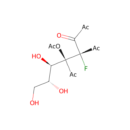 CC(=O)O[C@@](C(C)=O)([C@H](O)[C@H](O)CO)[C@](F)(C(C)=O)C(=O)C(C)=O